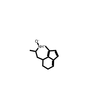 CC1CC2CCC=C3C=CC(=C32)C[NH+]1[O-]